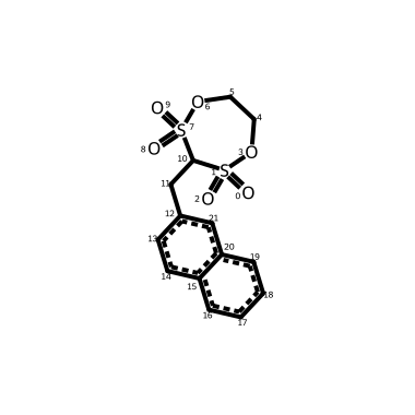 O=S1(=O)OCCOS(=O)(=O)C1Cc1ccc2ccccc2c1